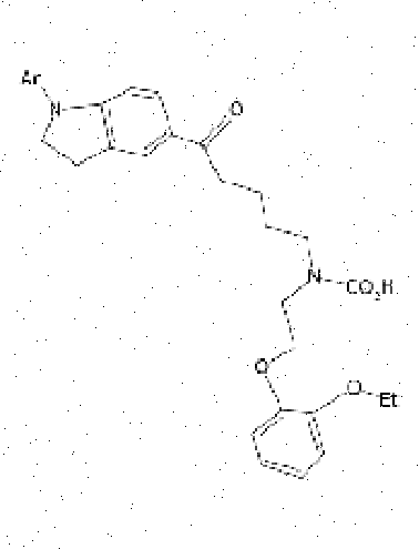 CCOc1ccccc1OCCN(CCCCC(=O)c1ccc2c(c1)CCN2C(C)=O)C(=O)O